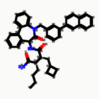 CCCC[C@H](C(N)=O)[C@@H](CC1CCC1)C(=O)NC1C(=O)N(Cc2cccc(-c3ccc4ccccc4c3)c2)c2ccccc2-c2ccccc21